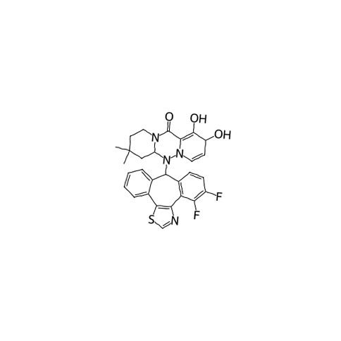 CC1(C)CCN2C(=O)C3=C(O)C(O)C=CN3N(C3c4ccccc4-c4scnc4-c4c3ccc(F)c4F)C2C1